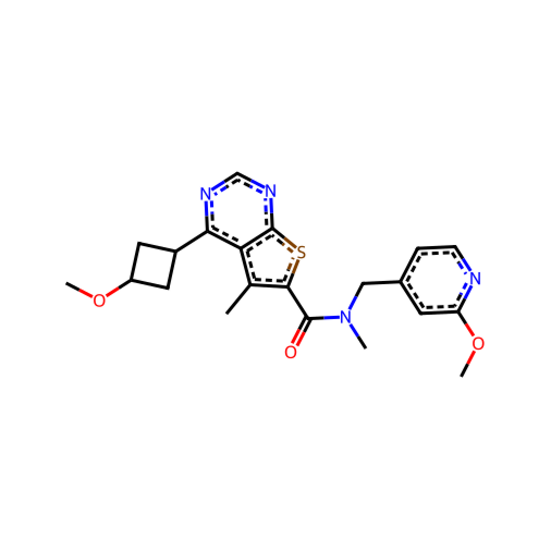 COc1cc(CN(C)C(=O)c2sc3ncnc(C4CC(OC)C4)c3c2C)ccn1